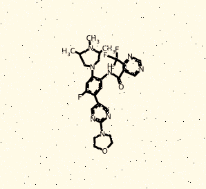 CC1CN(c2cc(F)c(-c3cnc(N4CCOCC4)nc3)cc2NC(=O)c2cncnc2C(F)(F)F)CC(C)N1C